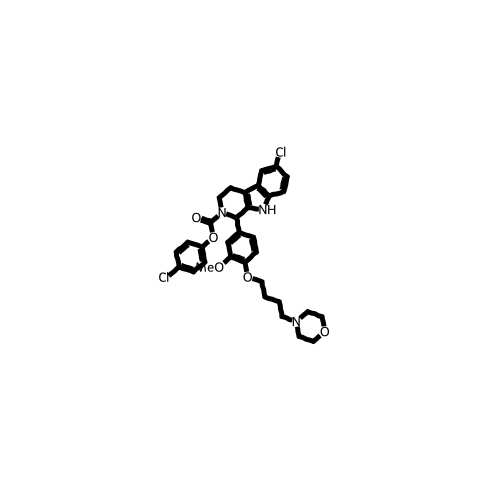 COc1cc(C2c3[nH]c4ccc(Cl)cc4c3CCN2C(=O)Oc2ccc(Cl)cc2)ccc1OCCCCN1CCOCC1